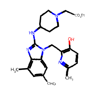 CCOC(=O)CN1CCC(Nc2nc3c(C)cc(C=O)cc3n2Cc2nc(C)ccc2O)CC1